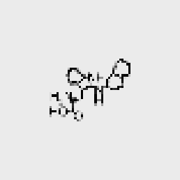 N[C@@H](Cc1c(Nc2ccc3ccccc3c2)[nH]c2ccccc12)C(=O)O